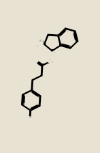 O=C(CCc1ccc(O)cc1)N[C@H]1c2ccccc2C[C@H]1O